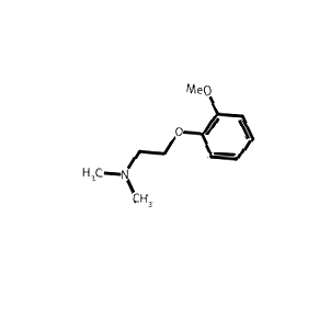 COc1ccc[c]c1OCCN(C)C